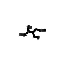 CC(C)(C)N(C(=O)O)C(CF)CC=O